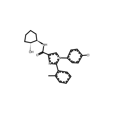 Cc1ccccc1-c1nc(C(=O)N[C@@H]2CCCC[C@H]2O)cn1-c1ccc(Cl)cc1